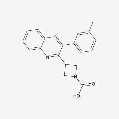 Cc1cccc(-c2nc3ccccc3nc2C2CN(C(=O)O)C2)c1